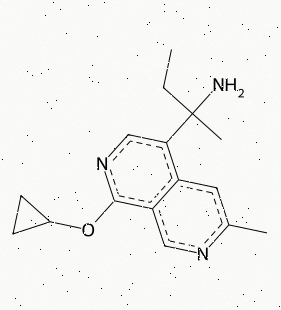 CCC(C)(N)c1cnc(OC2CC2)c2cnc(C)cc12